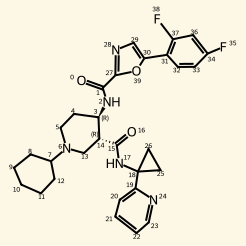 O=C(N[C@@H]1CCN(C2CCCCC2)C[C@H]1C(=O)NC1(c2ccccn2)CC1)c1ncc(-c2ccc(F)cc2F)o1